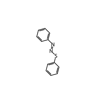 c1ccc(/N=N/Sc2ccccc2)cc1